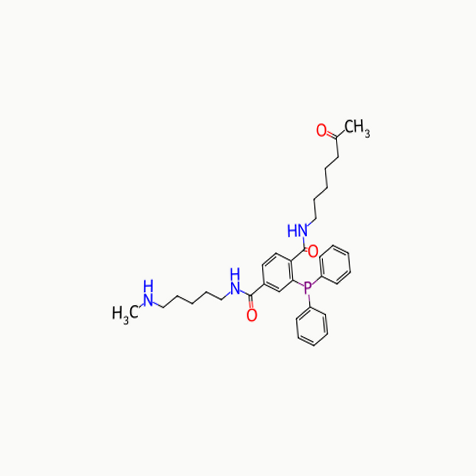 CNCCCCCNC(=O)c1ccc(C(=O)NCCCCCC(C)=O)c(P(c2ccccc2)c2ccccc2)c1